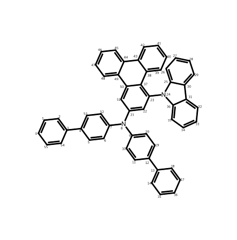 c1ccc(-c2ccc(N(c3ccc(-c4ccccc4)cc3)c3cc(-n4c5ccccc5c5ccccc54)c4c5ccccc5c5ccccc5c4c3)cc2)cc1